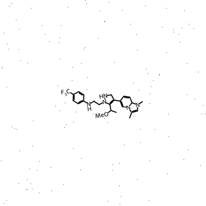 COC(C)C1=C(C2=CN3C(C)=CN(C)C3C=C2)CNN1CCNc1ccc(C(F)(F)F)cc1